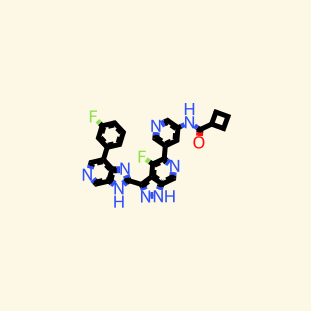 O=C(Nc1cncc(-c2ncc3[nH]nc(-c4nc5c(-c6cccc(F)c6)cncc5[nH]4)c3c2F)c1)C1CCC1